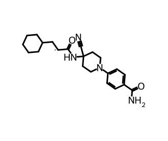 N#CC1(NC(=O)[CH]CC2CCCCC2)CCN(c2ccc(C(N)=O)cc2)CC1